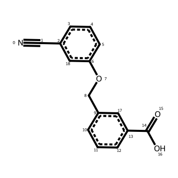 N#Cc1cccc(OCc2cccc(C(=O)O)c2)c1